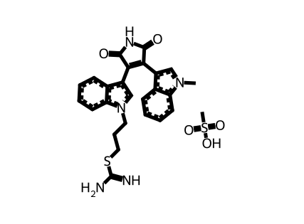 CS(=O)(=O)O.Cn1cc(C2=C(c3cn(CCCSC(=N)N)c4ccccc34)C(=O)NC2=O)c2ccccc21